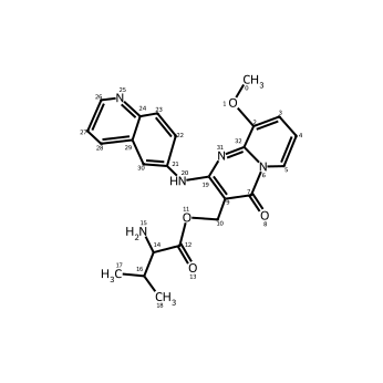 COc1cccn2c(=O)c(COC(=O)C(N)C(C)C)c(Nc3ccc4ncccc4c3)nc12